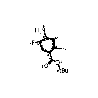 CC(C)(C)OC(=O)c1cc(F)c(N)cc1F